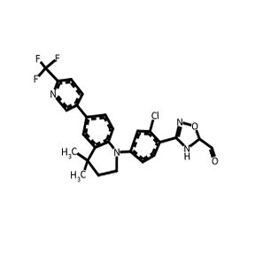 CC1(C)CCN(c2ccc(C3=NOC(C=O)N3)c(Cl)c2)c2ccc(-c3ccc(C(F)(F)F)nc3)cc21